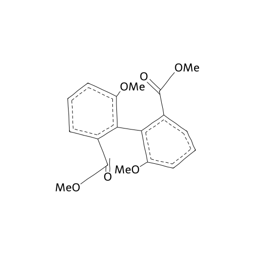 COC(=O)c1cccc(OC)c1-c1c(OC)cccc1C(=O)OC